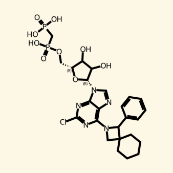 O=P(O)(O)CP(=O)(O)OC[C@H]1O[C@@H](n2cnc3c(N4CC5(CCCCC5)C4c4ccccc4)nc(Cl)nc32)C(O)C1O